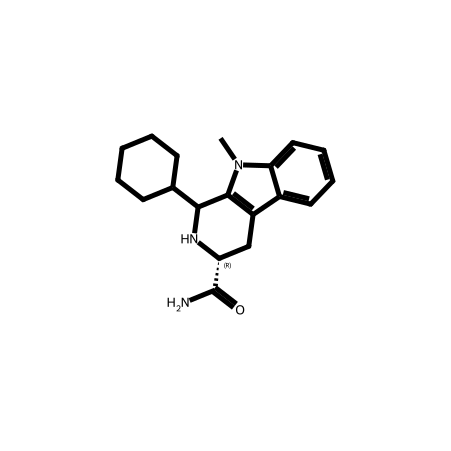 Cn1c2c(c3ccccc31)C[C@H](C(N)=O)NC2C1CCCCC1